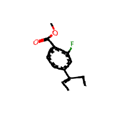 C/C=C(\CC)c1ccc(C(=O)OC)c(F)c1